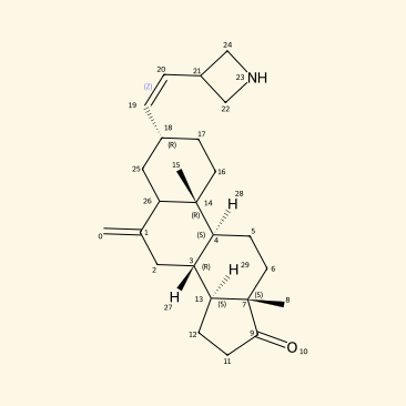 C=C1C[C@@H]2[C@H](CC[C@]3(C)C(=O)CC[C@@H]23)[C@@]2(C)CC[C@@H](/C=C\C3CNC3)CC12